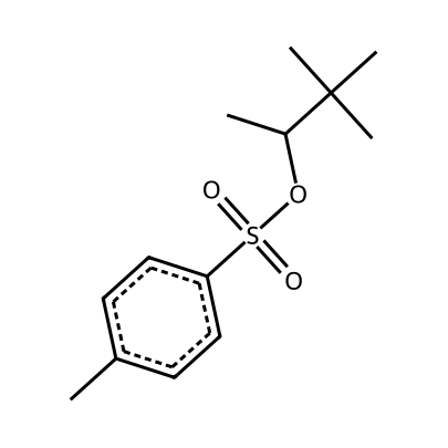 Cc1ccc(S(=O)(=O)OC(C)C(C)(C)C)cc1